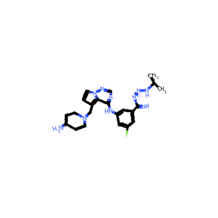 CC(C)N/N=N\C(=N)c1cc(F)cc(Nc2ncnn3ccc(CN4CCC(N)CC4)c23)c1